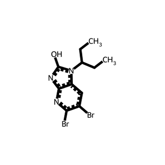 CCC(CC)n1c(O)nc2nc(Br)c(Br)cc21